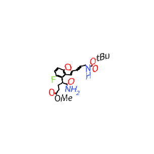 COC(=O)CCC(C(N)=O)c1c(F)ccc2oc(C#CCNC(=O)OC(C)(C)C)cc12